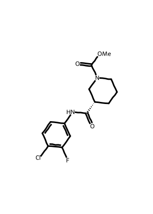 COC(=O)N1CCC[C@H](C(=O)Nc2ccc(Cl)c(F)c2)C1